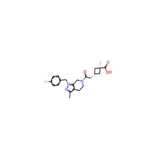 Cc1nn(Cc2ccc(F)cc2)c2c1CCN(C(=O)C[C@H]1C[C@](C)(C(=O)O)C1)C2